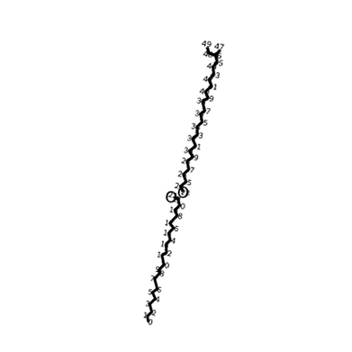 CCCCCCCCC=CCCCCCCCCCCCC(=O)OCCCCCCCCCCCCCCCCCCCCCCC(C)CC